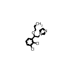 C=CCOC(Cn1ccnc1)c1cccc(Cl)c1Cl